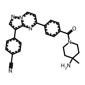 CC1(N)CCN(C(=O)c2ccc(-c3ccn4ncc(-c5ccc(C#N)cc5)c4n3)cc2)CC1